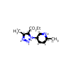 CCOC(=O)c1c(C)nnn1-c1ccc(C)nc1